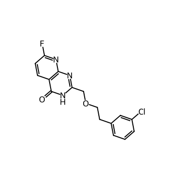 O=c1[nH]c(COCCc2cccc(Cl)c2)nc2nc(F)ccc12